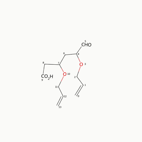 C=CCOC(C=O)CC(CC(=O)O)OCC=C